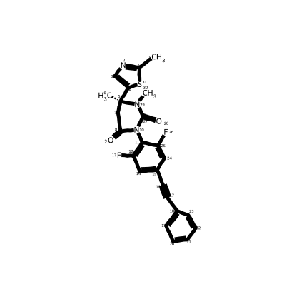 Cc1ncc([C@]2(C)CC(=O)N(c3c(F)cc(C#Cc4ccccc4)cc3F)C(=O)N2C)s1